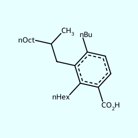 CCCCCCCCC(C)Cc1c(CCCC)ccc(C(=O)O)c1CCCCCC